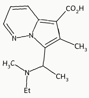 CCN(C)C(C)c1c(C)c(C(=O)O)c2cccnn12